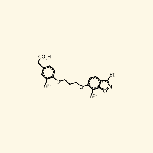 CCCc1cc(CC(=O)O)ccc1OCCCOc1ccc2c(CC)noc2c1CCC